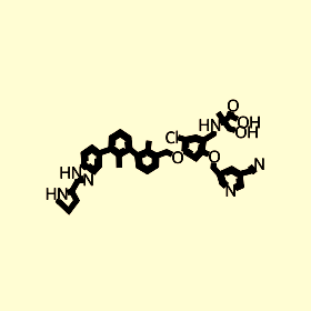 Cc1c(COc2cc(OCc3cncc(C#N)c3)c(CNC(C)(CO)C(=O)O)cc2Cl)cccc1-c1cccc(-c2ccc3[nH]c(C4CCCN4)nc3c2)c1C